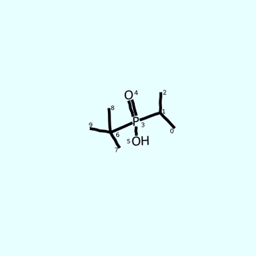 CC(C)P(=O)(O)C(C)(C)C